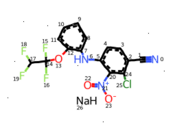 N#Cc1ccc(Nc2ccccc2OC(F)(F)C(F)F)c([N+](=O)[O-])c1Cl.[NaH]